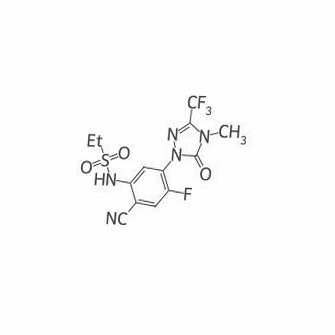 CCS(=O)(=O)Nc1cc(-n2nc(C(F)(F)F)n(C)c2=O)c(F)cc1C#N